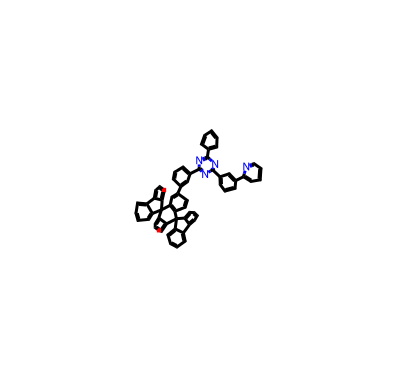 c1ccc(-c2nc(-c3cccc(-c4ccc5c(c4)C4(c6ccccc6-c6ccccc64)c4ccccc4C54c5ccccc5-c5ccccc54)c3)nc(-c3cccc(-c4ccccn4)c3)n2)cc1